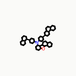 c1ccc2c(-c3ccc(N(c4ccc(-c5ccc6c(ccc7ccccc76)c5)cc4)c4cccc5oc6c7ccccc7ccc6c45)cc3)cccc2c1